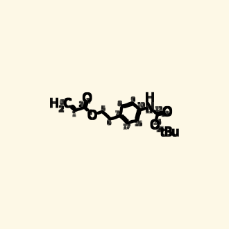 C=CC(=O)OCCc1ccc(NC(=O)OC(C)(C)C)cc1